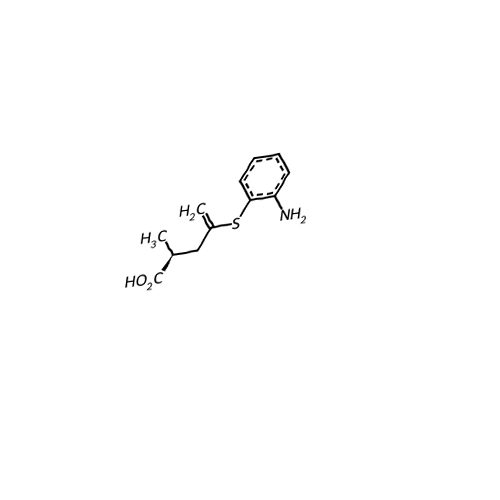 C=C(C[C@H](C)C(=O)O)Sc1ccccc1N